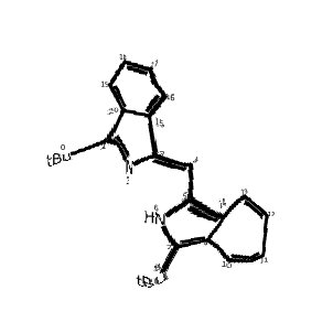 CC(C)(C)C1=NC(=Cc2[nH]c(C(C)(C)C)c3ccccc23)c2ccccc21